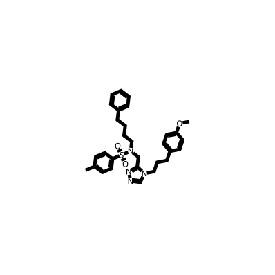 COc1ccc(CCCn2cnnc2CN(CCCCc2ccccc2)S(=O)(=O)c2ccc(C)cc2)cc1